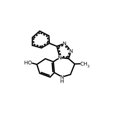 CC1CNC2=C(CC(O)C=C2)n2c(-c3ccccc3)nnc21